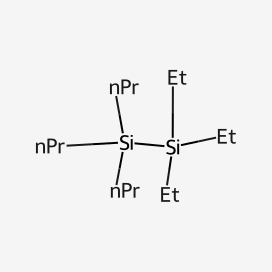 CCC[Si](CCC)(CCC)[Si](CC)(CC)CC